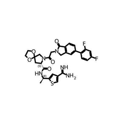 C[C@@H](NC(=O)[C@@H]1CC2(CN1C(=O)CN1Cc3cc(-c4ccc(F)cc4F)ccc3C1=O)OCCO2)c1cc(C(=N)N)cs1